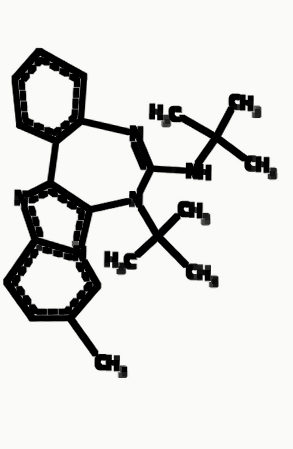 Cc1ccc2nc3c(n2c1)N(C(C)(C)C)C(NC(C)(C)C)=Nc1ccccc1-3